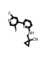 N#CC1(CNc2cccc(-c3cc(F)ncc3F)n2)CC1